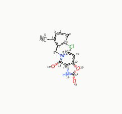 N#Cc1cccc(Cl)c1Cn1ccc2oc(=O)[nH]c2c1=O